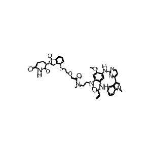 C=CC(=O)Nc1cc(Nc2nccc(-c3cn(C)c4ccccc34)n2)c(OC)cc1N(C)CCN(C)C(=O)COCCSc1cccc2c1CN(C1CCC(=O)NC1=O)C2=O